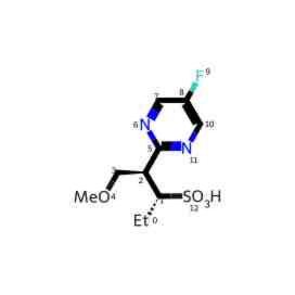 CC[C@H]([C@@H](COC)c1ncc(F)cn1)S(=O)(=O)O